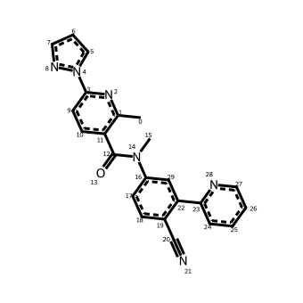 Cc1nc(-n2cccn2)ccc1C(=O)N(C)c1ccc(C#N)c(-c2ccccn2)c1